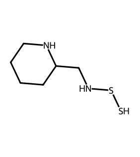 SSNCC1CCCCN1